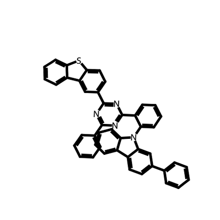 c1ccc(-c2ccc3c4ccccc4n(-c4ccccc4-c4nc(-c5ccccc5)nc(-c5ccc6sc7ccccc7c6c5)n4)c3c2)cc1